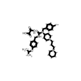 CC(C)Oc1ccc(CNC(=O)N(Cc2ccc(F)cc2)C2CCN(CCCN3CCCCC3)CC2)cc1.O=C(O)C(=O)O